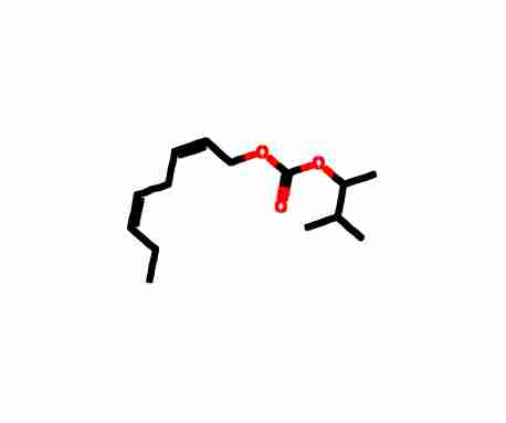 CC/C=C\C/C=C\COC(=O)OC(C)C(C)C